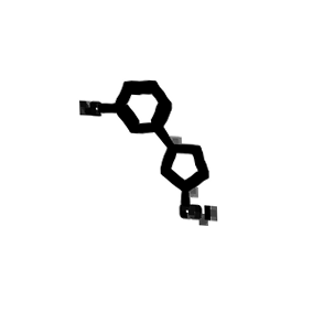 N#Cc1cccc([C@H]2CC[C@@H](C(=O)O)C2)c1